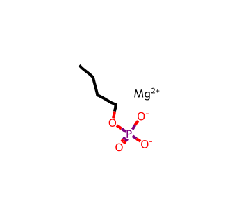 CCCCOP(=O)([O-])[O-].[Mg+2]